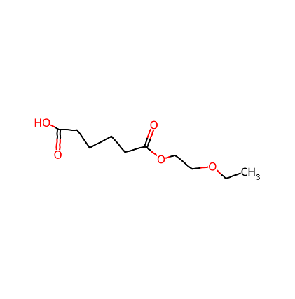 CCOCCOC(=O)CCCCC(=O)O